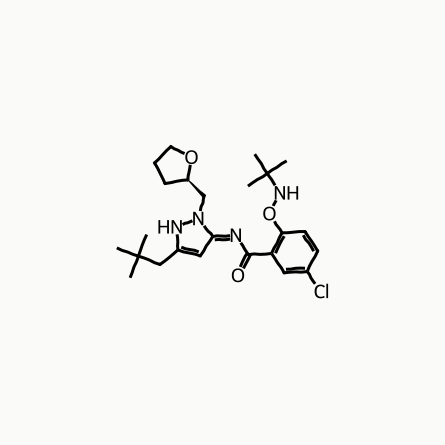 CC(C)(C)Cc1cc(=NC(=O)c2cc(Cl)ccc2ONC(C)(C)C)n(C[C@H]2CCCO2)[nH]1